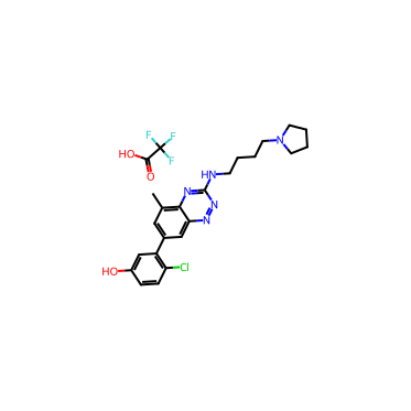 Cc1cc(-c2cc(O)ccc2Cl)cc2nnc(NCCCCN3CCCC3)nc12.O=C(O)C(F)(F)F